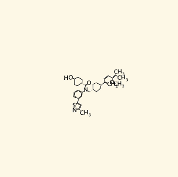 C=C(/C=C\C(OC)=C(C)C)[C@H]1CC[C@H](CN(c2cccc(-c3cc(C)ns3)c2)C(=O)[C@H]2CC[C@H](O)CC2)CC1